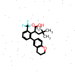 CC(C)(C)CC(C(=O)O)c1c(-c2ccc3c(c2)CCCO3)cccc1C(F)(F)F